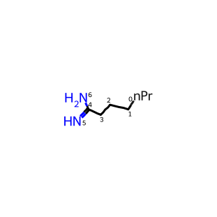 CCCCCCC(=N)N